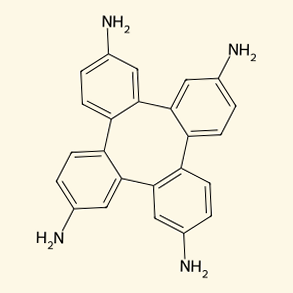 Nc1ccc2c(c1)-c1cc(N)ccc1-c1ccc(N)cc1-c1cc(N)ccc1-2